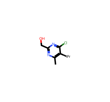 Cc1nc(CO)nc(Cl)c1C(C)C